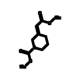 CC(C)(C)OC(=O)C=C1CCCN(C(=O)OC(C)(C)C)C1